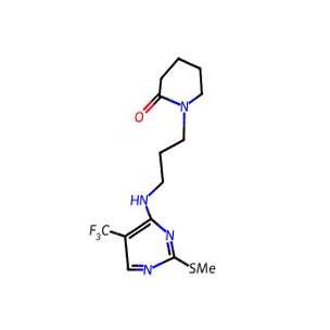 CSc1ncc(C(F)(F)F)c(NCCCN2CCCCC2=O)n1